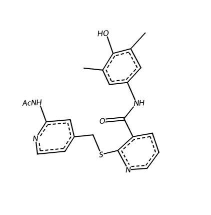 CC(=O)Nc1cc(CSc2ncccc2C(=O)Nc2cc(C)c(O)c(C)c2)ccn1